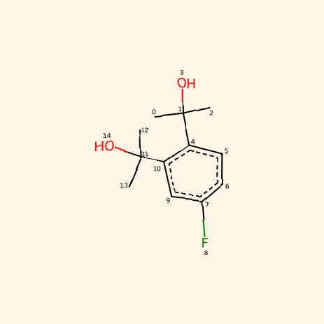 CC(C)(O)c1ccc(F)cc1C(C)(C)O